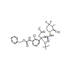 COC(=O)CC(C)(N/C(=N\OC(C)(C)C)NC1CCC(F)(F)C(C)C1=C=O)c1cccc(NC(=O)OCc2ccccc2)c1Cl